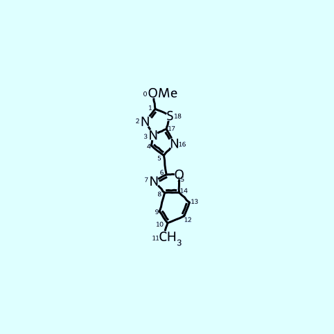 COc1nn2cc(-c3nc4cc(C)ccc4o3)nc2s1